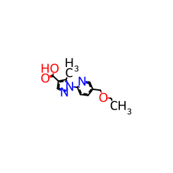 CCOCc1ccc(-n2ncc(C(=O)O)c2C)nc1